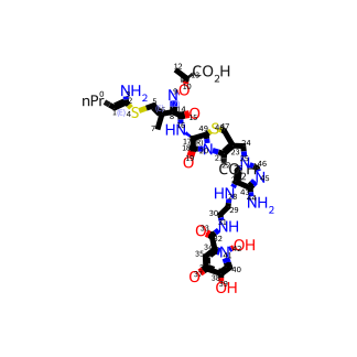 CCC/C=C(\N)S/C=C(C)/C(=N/O[C@@H](C)C(=O)O)C(=O)N[C@@H]1C(=O)N2C(C(=O)O)=C(CN3C=C(NCCNC(=O)c4cc(=O)c(O)cn4O)C(N)=NC3)CSC12